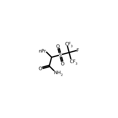 CCCC(C(N)=O)S(=O)(=O)C(F)(C(F)(F)F)C(F)(F)F